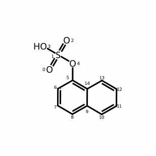 O=S(=O)(O)Oc1[c]ccc2ccccc12